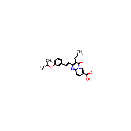 CCCc1c(C=Cc2cccc(OC(C)C)c2)nc2ccc(C(=O)O)cn2c1=O